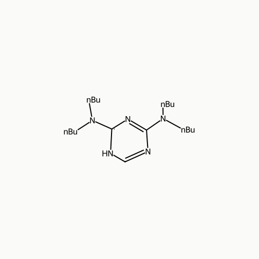 CCCCN(CCCC)[C]1N=C(N(CCCC)CCCC)N=CN1